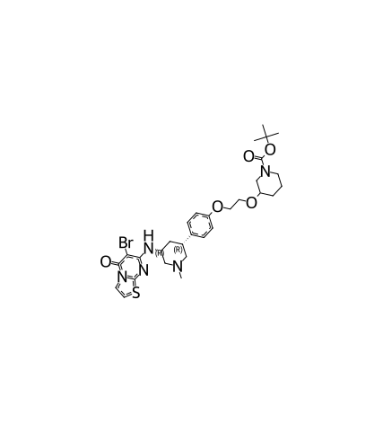 CN1C[C@H](Nc2nc3sccn3c(=O)c2Br)C[C@H](c2ccc(OCCOC3CCCN(C(=O)OC(C)(C)C)C3)cc2)C1